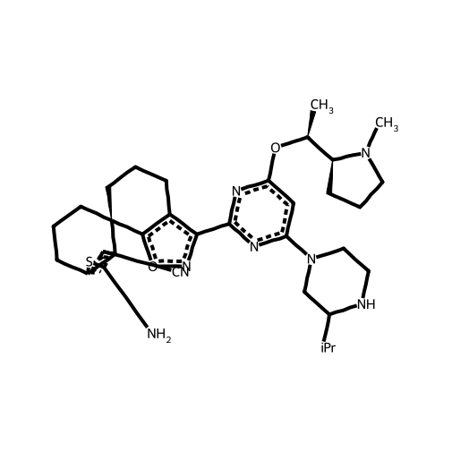 CC(C)C1CN(c2cc(O[C@@H](C)[C@@H]3CCCN3C)nc(-c3noc4c3CCC[C@@]43CCCc4sc(N)c(C#N)c43)n2)CCN1